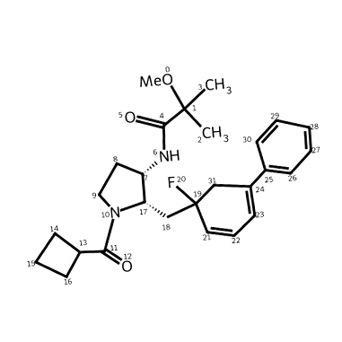 COC(C)(C)C(=O)N[C@H]1CCN(C(=O)C2CCC2)[C@H]1CC1(F)C=CC=C(c2ccccc2)C1